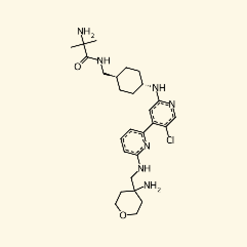 CC(C)(N)C(=O)NC[C@H]1CC[C@H](Nc2cc(-c3cccc(NCC4(N)CCOCC4)n3)c(Cl)cn2)CC1